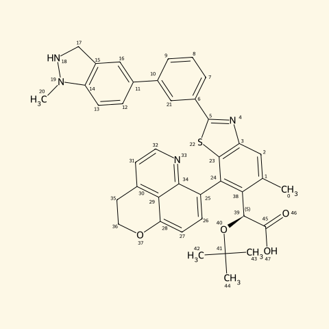 Cc1cc2nc(-c3cccc(-c4ccc5c(c4)CNN5C)c3)sc2c(-c2ccc3c4c(ccnc24)CCO3)c1[C@H](OC(C)(C)C)C(=O)O